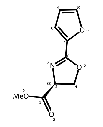 COC(=O)[C@@H]1COC(c2ccco2)=N1